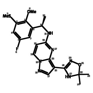 COc1c(SC)cc(F)cc1[C@@H](C)Nc1ccn2ncc(C3=NOC(C)(C)N3)c2n1